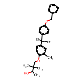 CCC(CC)(c1ccc(OCc2ccccc2)cc1)c1ccc(OCC(C)(C)C(C)O)c(C)c1